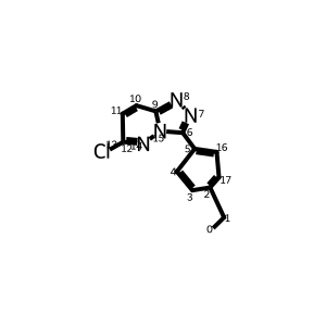 CCc1ccc(-c2nnc3ccc(Cl)nn23)cc1